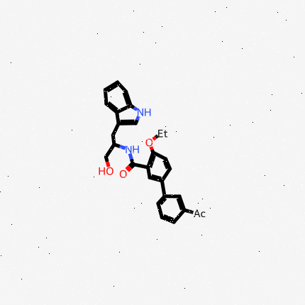 CCOc1ccc(-c2cccc(C(C)=O)c2)cc1C(=O)NC(CO)Cc1c[nH]c2ccccc12